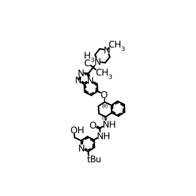 CN1CCN(C(C)(C)c2nnc3ccc(O[C@@H]4CC[C@H](NC(=O)Nc5cc(CO)nc(C(C)(C)C)c5)c5ccccc54)cn23)CC1